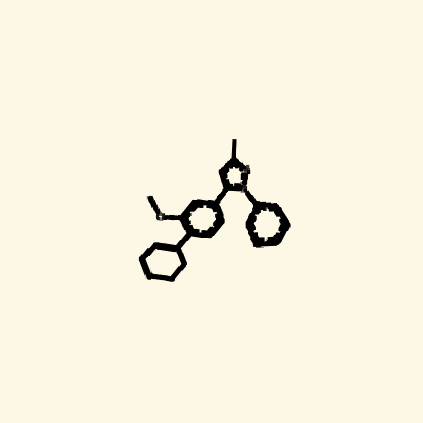 COc1cc(-c2cc(C)nn2-c2ccccc2)ccc1C1=CCCCC1